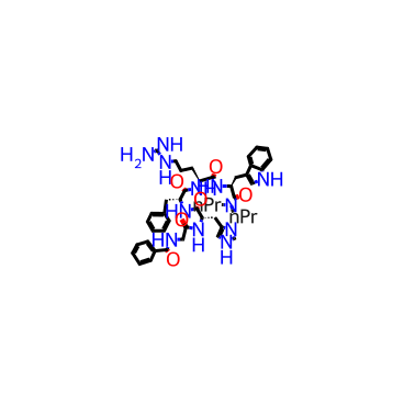 CCCN(CCC)C(=O)[C@H](Cc1c[nH]c2ccccc12)NC(=O)[C@H](CCCNC(=N)N)NC(=O)[C@@H](Cc1ccccc1)NC(=O)[C@H](Cc1c[nH]cn1)NC(=O)CNC(=O)c1ccccc1